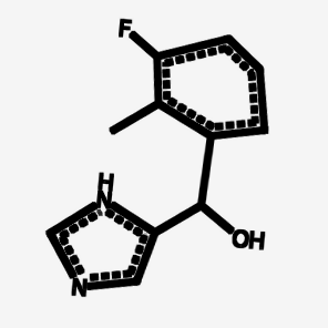 Cc1c(F)cccc1C(O)c1cnc[nH]1